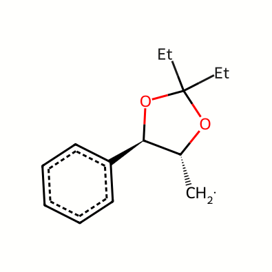 [CH2][C@H]1OC(CC)(CC)O[C@@H]1c1ccccc1